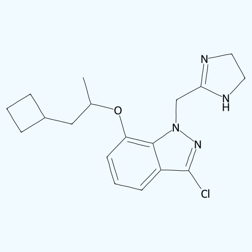 CC(CC1CCC1)Oc1cccc2c(Cl)nn(CC3=NCCN3)c12